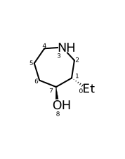 CC[C@H]1CNCCC[C@@H]1O